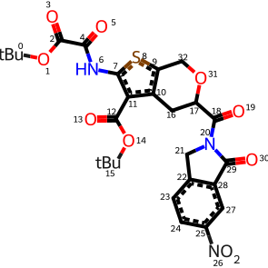 CC(C)(C)OC(=O)C(=O)Nc1sc2c(c1C(=O)OC(C)(C)C)CC(C(=O)N1Cc3ccc([N+](=O)[O-])cc3C1=O)OC2